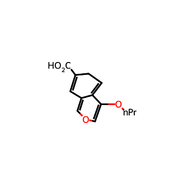 CCCOC1=COC=C2C=C(C(=O)O)CC=C21